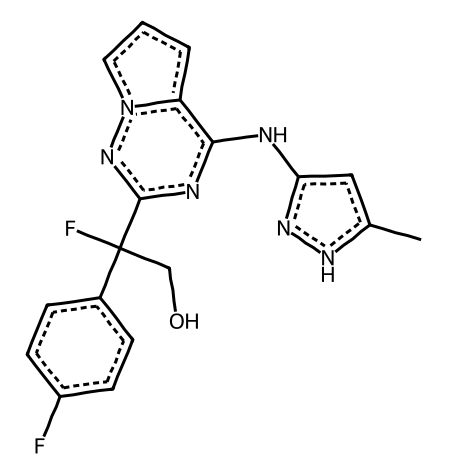 Cc1cc(Nc2nc(C(F)(CO)c3ccc(F)cc3)nn3cccc23)n[nH]1